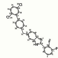 Fc1cccc(-c2nc3ccn(Cc4ccc(-c5cc(Cl)ccc5Cl)cc4)cc-3n2)c1F